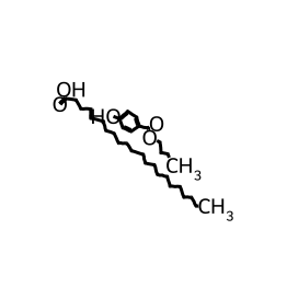 CCCCCCCCCCCCCCCCCCCCCC(=O)O.CCCCOC(=O)c1ccc(O)cc1